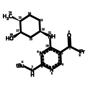 CC(C)C(=O)c1cnc(NC(C)(C)C)nc1N[C@@H]1CC[C@@H](C)[C@H](O)C1